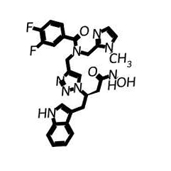 Cn1ccnc1CN(Cc1cn([C@@H](CC(=O)NO)Cc2c[nH]c3ccccc23)nn1)C(=O)c1ccc(F)c(F)c1